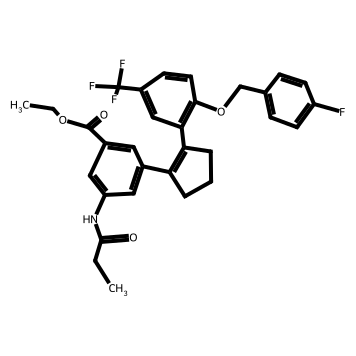 CCOC(=O)c1cc(NC(=O)CC)cc(C2=C(c3cc(C(F)(F)F)ccc3OCc3ccc(F)cc3)CCC2)c1